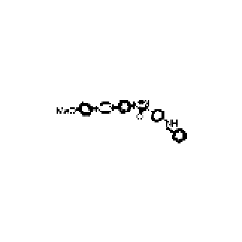 COc1ccc(N2CCN(c3ccc(-n4cnn([C@H]5CC[C@@H](NCc6ccccc6)CC5)c4=O)cc3)CC2)cc1